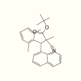 Cc1cccc(C)c1C(c1cccc2ccccc12)C(C)(C#N)C(=O)OC(C)(C)C